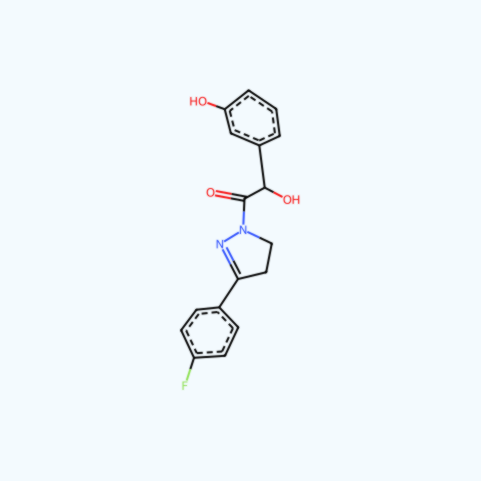 O=C(C(O)c1cccc(O)c1)N1CCC(c2ccc(F)cc2)=N1